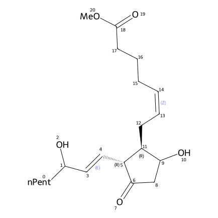 CCCCCC(O)/C=C/[C@H]1C(=O)CC(O)[C@@H]1C/C=C\CCCC(=O)OC